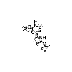 CC(NC(=O)OC(C)(C)C)SSC(C)NC(=O)OC(C)(C)C